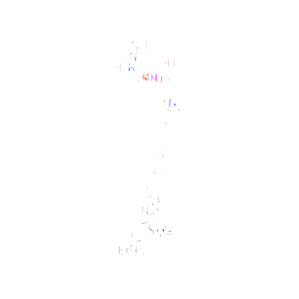 CCN(CC)c1ccc(/C=C(\C=O)c2cn3ccc(OCCOCCOCCOCCOCc4cn(CCCC(=O)NC(CO)CC(CC)(C(C)/C(N)=N\C=N)P(O)O)nn4)cc3n2)c(OC)c1